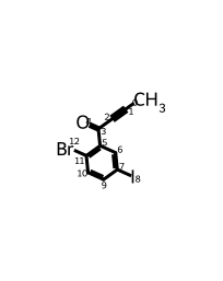 CC#CC(=O)c1cc(I)ccc1Br